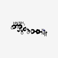 CCN(C(=O)[C@@H]1CCN(CC(=O)N2CC=C(c3ccc(C(=N)/N=C\NC)cc3)CC2)C1)c1ccc(N)c(C(=N)C2=CCOCC2)n1